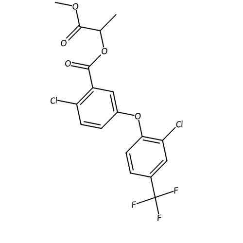 COC(=O)C(C)OC(=O)c1cc(Oc2ccc(C(F)(F)F)cc2Cl)ccc1Cl